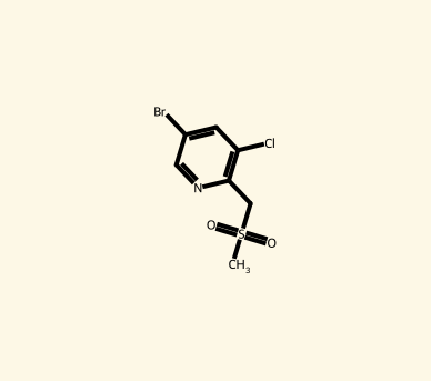 CS(=O)(=O)Cc1ncc(Br)cc1Cl